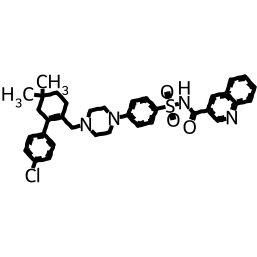 CC1(C)CCC(CN2CCN(c3ccc(S(=O)(=O)NC(=O)c4cnc5ccccc5c4)cc3)CC2)=C(c2ccc(Cl)cc2)C1